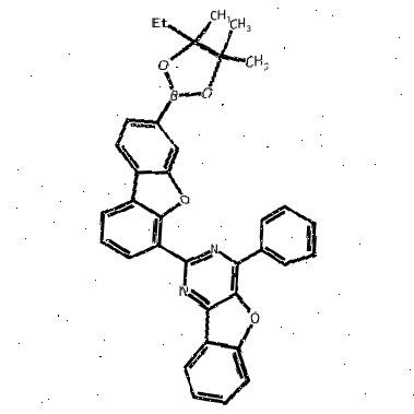 CCC1(C)OB(c2ccc3c(c2)oc2c(-c4nc(-c5ccccc5)c5oc6ccccc6c5n4)cccc23)OC1(C)C